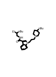 CCCCC1CCN(CCCn2cc(C(=O)NCC(CC)CCCC)c3ccccc32)CC1